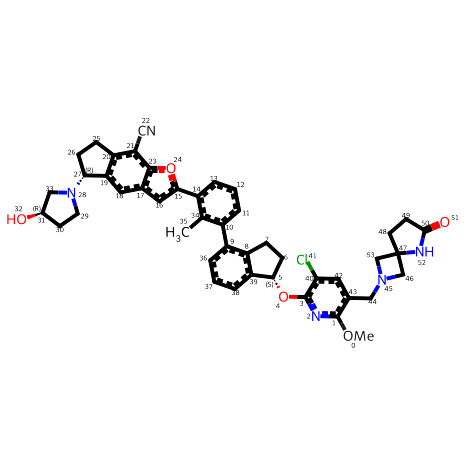 COc1nc(O[C@H]2CCc3c(-c4cccc(-c5cc6cc7c(c(C#N)c6o5)CC[C@H]7N5CC[C@@H](O)C5)c4C)cccc32)c(Cl)cc1CN1CC2(CCC(=O)N2)C1